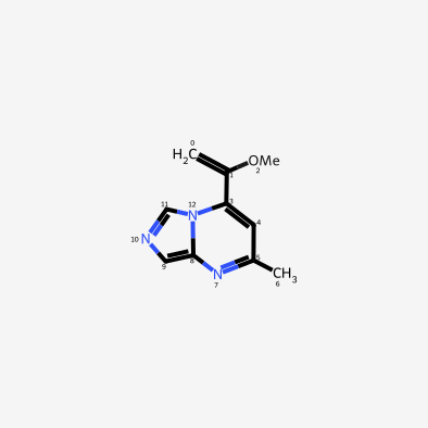 C=C(OC)c1cc(C)nc2cncn12